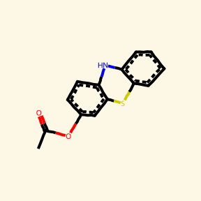 CC(=O)Oc1ccc2c(c1)Sc1ccccc1N2